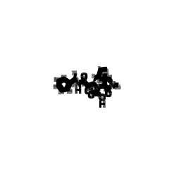 CCCC[C@@H](C(O)C(=O)N[C@H](C)c1ccccc1)N(C(=O)O)C1C(=O)N(C)CC1(C)C